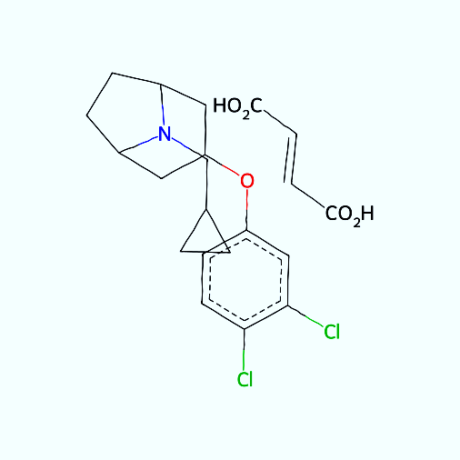 Clc1ccc(OC2CC3CCC(C2)N3CC2CC2)cc1Cl.O=C(O)/C=C/C(=O)O